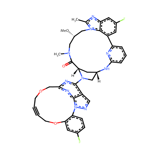 CO[C@H]1CN(C)C(=O)[C@@H]2C[C@@H](CN2c2nc3nc4c2cnn4-c2ccc(F)cc2OCC#CCOC3)Nc2cccc(n2)-c2cc(F)cc3nc(C)n(c23)C1